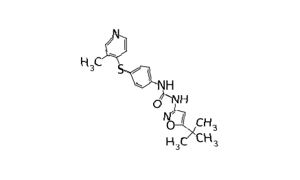 Cc1cnccc1Sc1ccc(NC(=O)Nc2cc(C(C)(C)C)on2)cc1